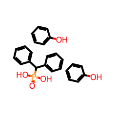 O=P(O)(O)C(c1ccccc1)c1ccccc1.Oc1ccccc1.Oc1ccccc1